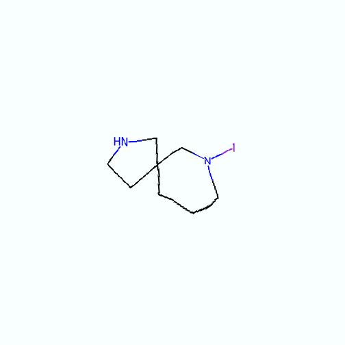 IN1CCCC2(CCNC2)C1